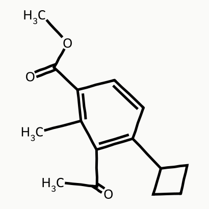 COC(=O)c1ccc(C2CCC2)c(C(C)=O)c1C